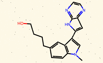 Cn1cc(-c2cc3nccnc3[nH]2)c2cc(CCCCO)ccc21